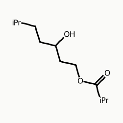 CC(C)CCC(O)CCOC(=O)C(C)C